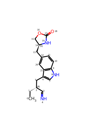 CC[C@@H](C=N)Cc1c[nH]c2ccc(C[C@H]3COC(=O)N3)cc12